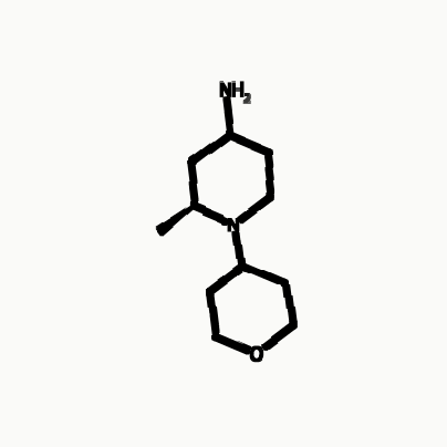 C[C@H]1CC(N)CCN1C1CCOCC1